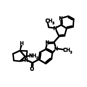 CCn1c(-c2nc3cc(C(=O)N4C[C@H]5CCC4C5N)ccc3n2C)cc2cccnc21